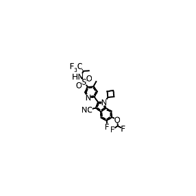 Cc1cc(-c2c(C#N)c3cc(F)c(OC(F)F)cc3n2C2CCC2)ncc1S(=O)(=O)N[C@@H](C)C(F)(F)F